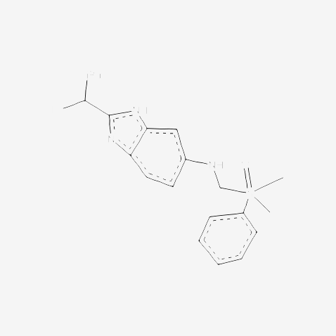 CCC(C)C(CC)c1nc2ccc(NCS(C)(C)(=O)c3ccccc3)cc2[nH]1